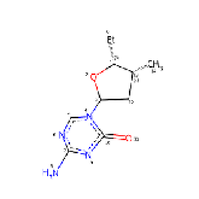 CC[C@H]1OC(n2cnc(N)nc2=O)C[C@H]1C